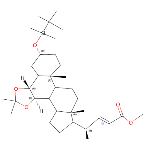 COC(=O)/C=C/[C@@H](C)C1CCC2C3C(CC[C@@]21C)[C@@]1(C)CC[C@@H](O[Si](C)(C)C(C)(C)C)CC1[C@H]1OC(C)(C)O[C@H]31